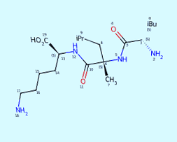 CC[C@H](C)[C@H](N)C(=O)N[C@@](C)(CC(C)C)C(=O)N[C@@H](CCCCN)C(=O)O